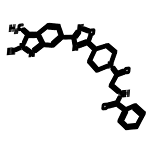 CCn1nc2cc(-c3noc(C4CCN(C(=O)CNC(=O)c5ccccc5)CC4)n3)ccc2c1C